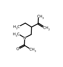 C=C(C)C(CC)CN(C)C(C)=O